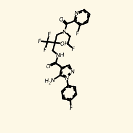 Nc1c(C(=O)NCC(O)(CN(CCF)C(=O)c2ncccc2F)C(F)(F)F)cnn1-c1ccc(F)cc1